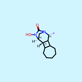 O=C1N(O)[C@H]2CN1[C@H](I)C1C3CCCCCC3[C@@H]12